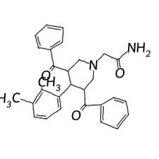 Cc1cccc(C2C(C(=O)c3ccccc3)CN(CC(N)=O)CC2C(=O)c2ccccc2)c1C